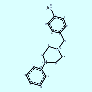 CC(=O)c1ccc(CN2CCN(c3ccccc3)CC2)cc1